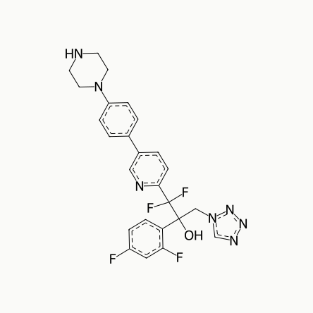 OC(Cn1cnnn1)(c1ccc(F)cc1F)C(F)(F)c1ccc(-c2ccc(N3CCNCC3)cc2)cn1